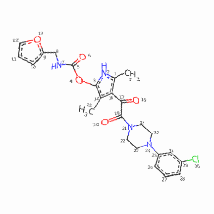 Cc1[nH]c(OC(=O)NCc2ccco2)c(C)c1C(=O)C(=O)N1CCN(c2cccc(Cl)c2)CC1